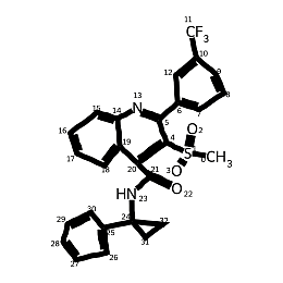 CS(=O)(=O)c1c(-c2cccc(C(F)(F)F)c2)nc2ccccc2c1C(=O)NC1(c2ccccc2)CC1